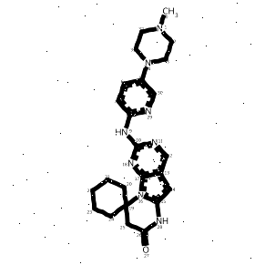 CN1CCN(c2ccc(Nc3ncc4cc5n(c4n3)C3(CCCCC3)CC(=O)N5)nc2)CC1